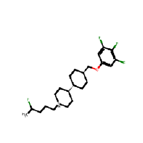 CC(F)CCC[SiH]1CCC([C@H]2CC[C@H](COc3cc(F)c(F)c(F)c3)CC2)CC1